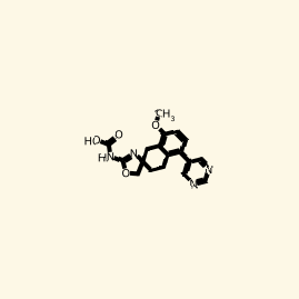 COc1ccc(-c2cncnc2)c2c1CC1(CC2)COC(NC(=O)O)=N1